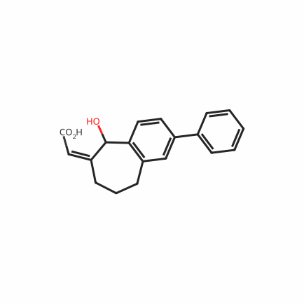 O=C(O)C=C1CCCc2cc(-c3ccccc3)ccc2C1O